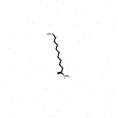 C=C(CCCCCCCCCCCCCCCCC)OC